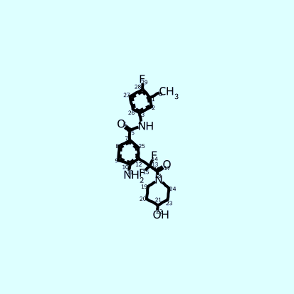 Cc1cc(NC(=O)c2ccc(N)c(C(F)(F)C(=O)N3CCC(O)CC3)c2)ccc1F